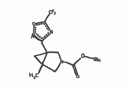 CC(C)(C)OC(=O)N1CC2(C)CC2(c2noc(C(F)(F)F)n2)C1